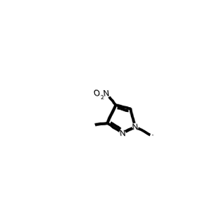 [CH2]n1cc([N+](=O)[O-])c(C)n1